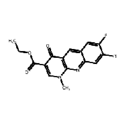 CCOC(=O)c1cn(C)c2nc3cc(Cl)c(F)cc3cc2c1=O